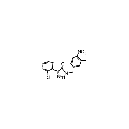 Cc1cc(Cn2nnn(-c3ccccc3Cl)c2=O)ccc1[N+](=O)[O-]